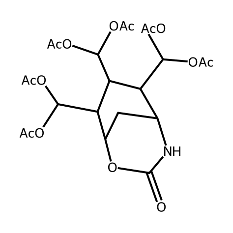 CC(=O)OC(OC(C)=O)C1C2CC(OC(=O)N2)C(C(OC(C)=O)OC(C)=O)C1C(OC(C)=O)OC(C)=O